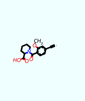 [C]#Cc1ccc(C(=O)N2CCCCC2C(=O)O)c(OC)c1